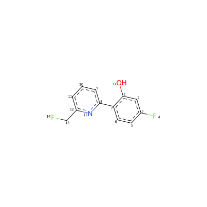 Oc1cc(F)ccc1-c1cccc(CF)n1